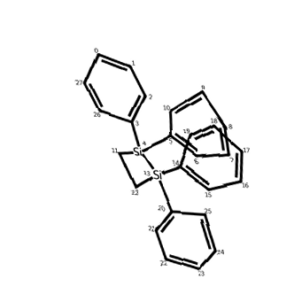 c1ccc([Si]2(c3ccccc3)CC[Si]2(c2ccccc2)c2ccccc2)cc1